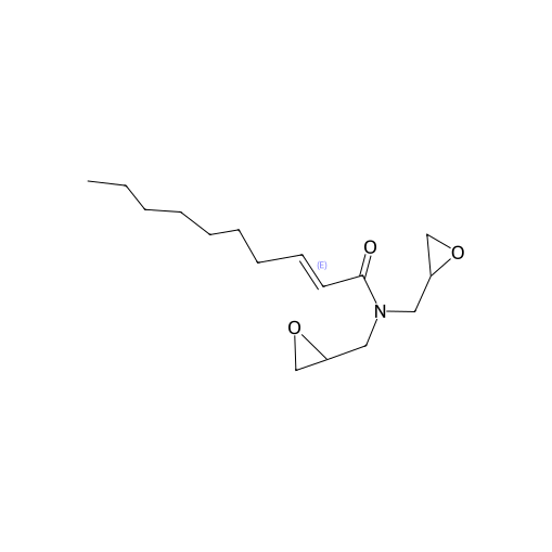 CCCCCCC/C=C/C(=O)N(CC1CO1)CC1CO1